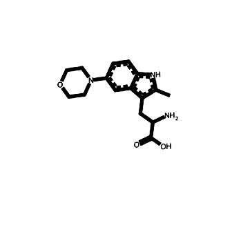 Cc1[nH]c2ccc(N3CCOCC3)cc2c1CC(N)C(=O)O